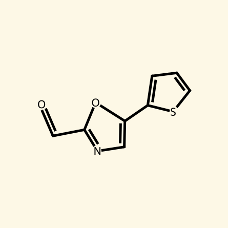 O=Cc1ncc(-c2cccs2)o1